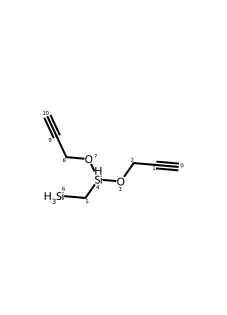 C#CCO[SiH](C[SiH3])OCC#C